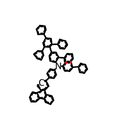 c1ccc(-c2ccc(N(c3ccc(-c4ccc5c6ccccc6c6ccccc6c5c4)cc3)c3ccc(-c4c(-c5ccccc5)cc(-c5ccccc5)cc4-c4ccccc4)cc3-c3ccccc3)cc2)cc1